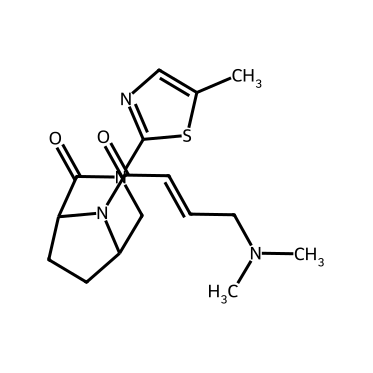 Cc1cnc(N2CC3CCC(C2=O)N3C(=O)/C=C/CN(C)C)s1